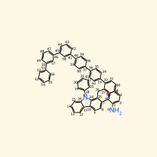 Nc1ccccc1-c1ccc2c3ccccc3n(-c3ccccc3)c2c1Cc1ccccc1-c1ccc(-c2ccc(-c3cccc(-c4cccc(-c5ccccc5)c4)c3)cc2)cc1